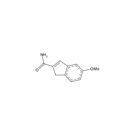 COc1ccc2c(c1)C=C(C(N)=O)C2